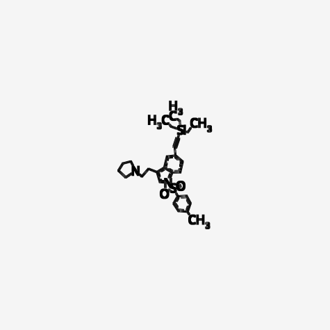 CC[Si](C#Cc1ccc2c(c1)c(CCN1CCCC1)cn2S(=O)(=O)c1ccc(C)cc1)(CC)CC